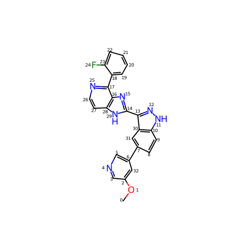 COc1cncc(-c2ccc3[nH]nc(-c4nc5c(-c6ccccc6F)nccc5[nH]4)c3c2)c1